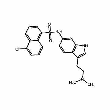 CN(C)CCc1c[nH]c2cc(NS(=O)(=O)c3cccc4c(Cl)cccc34)ccc12